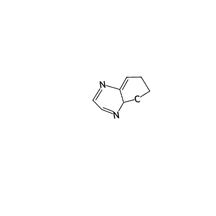 C1=NC2=CCCCC2N=C1